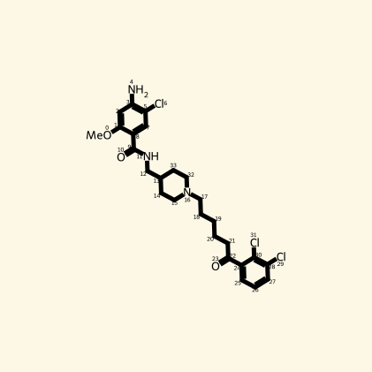 COc1cc(N)c(Cl)cc1C(=O)NCC1CCN(CCCCCC(=O)c2cccc(Cl)c2Cl)CC1